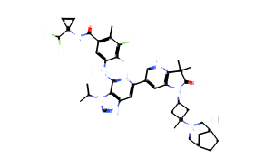 Cc1c(C(=O)NC2(C(F)F)CC2)cc(Nc2nc(-c3cnc4c(c3)N(C3CC(C)(N5CC6CC[C@@H](C6)C5)C3)C(=O)C4(C)C)cc3ncn(C(C)C)c23)c(F)c1F